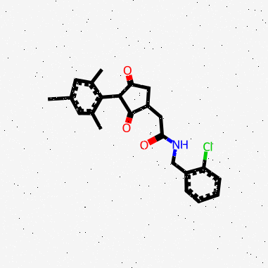 Cc1cc(C)c(C2C(=O)CC(CC(=O)NCc3ccccc3Cl)C2=O)c(C)c1